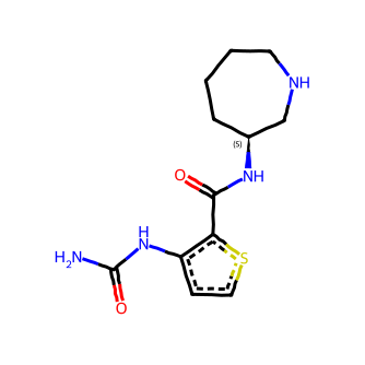 NC(=O)Nc1ccsc1C(=O)N[C@H]1CCCCNC1